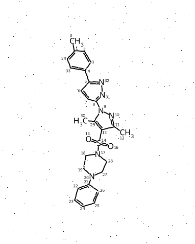 Cc1ccc(-c2ccc(-n3nc(C)c(S(=O)(=O)N4CCN(c5ccccc5)CC4)c3C)nn2)cc1